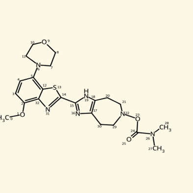 COc1ccc(N2CCOCC2)c2sc(-c3nc4c([nH]3)CCN(OC(=O)N(C)C)CC4)nc12